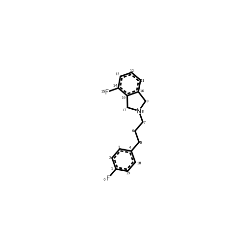 Fc1ccc(CCCN2Cc3cccc(F)c3C2)cc1